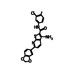 Cc1ccc(NC(=O)c2sc3nc(-c4ccc5c(c4)OCO5)ccc3c2N)cc1Cl